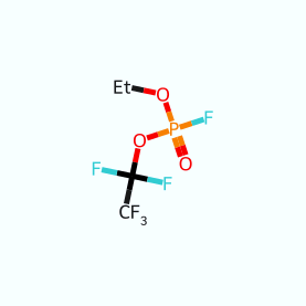 CCOP(=O)(F)OC(F)(F)C(F)(F)F